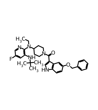 CCN(c1ncc(F)cc1NC(C)(C)C)C1CCN(C(=O)c2c[nH]c3ccc(OCc4ccccc4)cc23)CC1